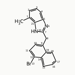 Cc1cccc2nc(Cc3ccc(Br)c4ccccc34)[nH]c12